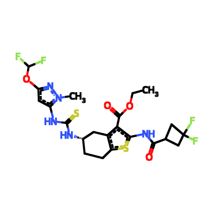 CCOC(=O)c1c(NC(=O)C2CC(F)(F)C2)sc2c1C[C@@H](NC(=S)Nc1cc(OC(F)F)nn1C)CC2